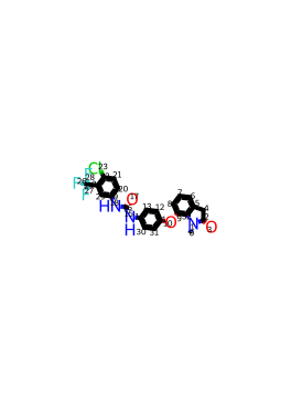 CN1C(=O)Cc2cccc(Oc3ccc(NC(=O)Nc4ccc(Cl)c(C(F)(F)F)c4)cc3)c21